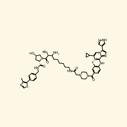 Cc1ncsc1-c1ccc(CNC(=O)[C@@H]2C[C@@H](O)CN2C(=O)[C@H](C(N)CCCCCCNC(=O)CN2CCN(C(=O)c3ccc(Nc4nc(C5CC5)cn5c(-c6cn[nH]c6)cnc45)c(F)c3)CC2)C(C)(C)C)cc1